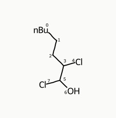 CCCCCCC(Cl)C(O)Cl